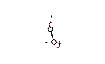 CCOC(=O)Cc1ccc(C#Cc2cc3c(cc2SCC)OCCC3(C)C)cc1